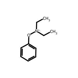 CC[N+](CC)Oc1ccccc1